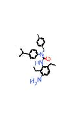 CCc1ccc(N)c(CC)c1NC(=O)N(Cc1ccc(C)cc1)c1ccc(C(C)C)cc1